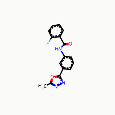 Cc1nnc(-c2cccc(NC(=O)c3ccccc3F)c2)o1